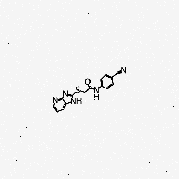 N#Cc1ccc(NC(=O)CSc2nc3ncccc3[nH]2)cc1